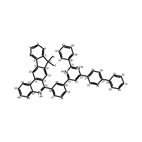 CC1(C)c2ccccc2-c2cc3c(cc21)c(-c1cccc(-c2cc(-c4ccc(-c5ccccc5)cc4)nc(-c4ccccc4)n2)c1)nc1ccccc13